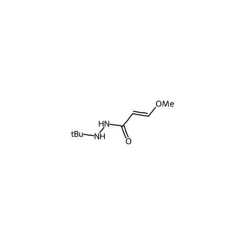 CO/C=C/C(=O)NNC(C)(C)C